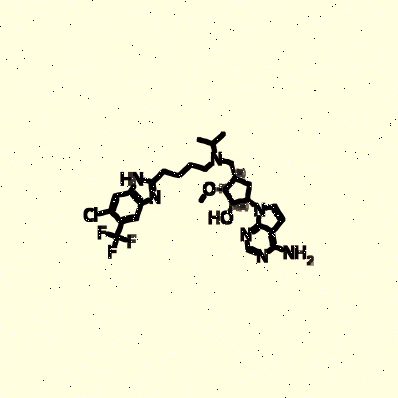 CO[C@@H]1[C@@H](CN(CCCCc2nc3cc(C(F)(F)F)c(Cl)cc3[nH]2)C(C)C)C[C@@H](n2ccc3c(N)ncnc32)[C@@H]1O